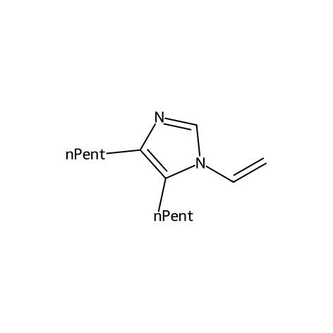 C=Cn1cnc(CCCCC)c1CCCCC